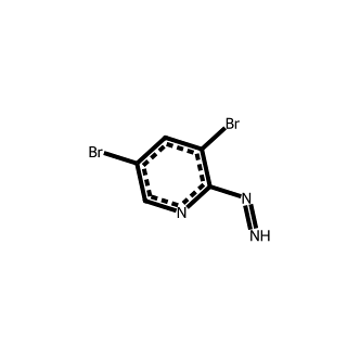 N=Nc1ncc(Br)cc1Br